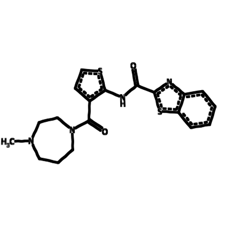 CN1CCCN(C(=O)c2ccsc2NC(=O)c2nc3ccccc3s2)CC1